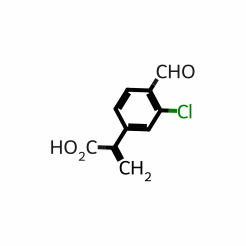 C=C(C(=O)O)c1ccc(C=O)c(Cl)c1